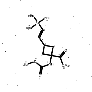 CCC[CH2][Sn]([CH]=CC1CC(NC(=O)OC(C)(C)C)(C(=O)OC)C1)([CH2]CCC)[CH2]CCC